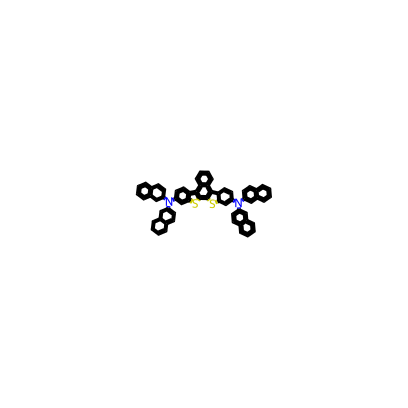 C1=CC2=CC=C(N(c3ccc4c(c3)sc3c5c(c6ccccc6c34)C3C=CC(N(c4ccc6ccccc6c4)c4ccc6ccccc6c4)=CC3S5)C3C=Cc4ccccc4C3)CC2CC1